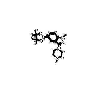 CN1CCN(c2nn(C)c3ccc(B4OC(C)(C)C(C)(C)O4)cc23)CC1